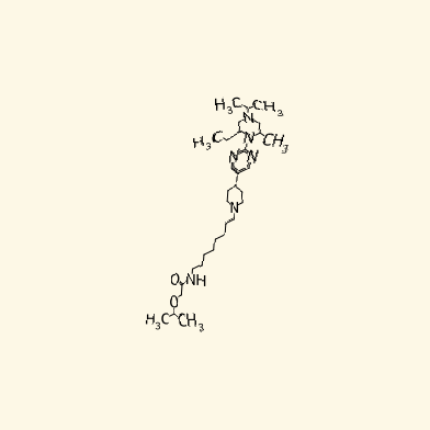 CCC1CN(C(C)C)CC(C)N1c1ncc(C2CCN(CCCCCCCCNC(=O)COC(C)C)CC2)cn1